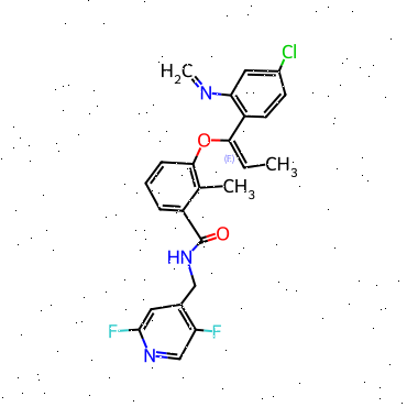 C=Nc1cc(Cl)ccc1/C(=C\C)Oc1cccc(C(=O)NCc2cc(F)ncc2F)c1C